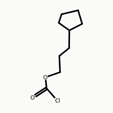 O=C(Cl)OCCCC1CCCC1